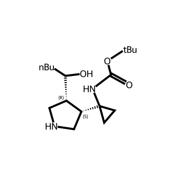 CCCCC(O)[C@H]1CNC[C@H]1C1(NC(=O)OC(C)(C)C)CC1